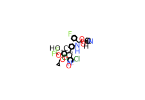 O=C(O)c1ccc(NC(C(=O)O[C@H]2CN3CCC2CC3)c2ccc(F)cc2)cc1[C@@H](Cc1c(Cl)c[n+]([O-])cc1Cl)c1ccc(OC(F)F)c(OCC2CC2)c1